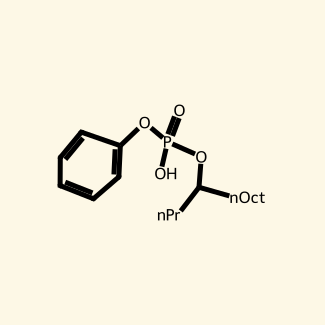 CCCCCCCCC(CCC)OP(=O)(O)Oc1ccccc1